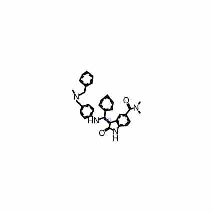 CN(Cc1ccccc1)Cc1ccc(N/C(=C2\C(=O)Nc3ccc(C(=O)N(C)C)cc32)c2ccccc2)cc1